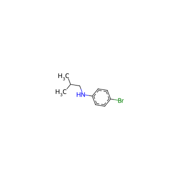 CC(C)CNc1ccc(Br)cc1